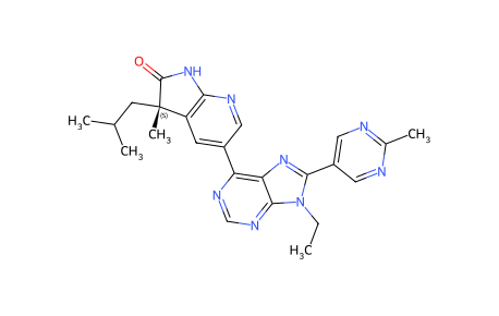 CCn1c(-c2cnc(C)nc2)nc2c(-c3cnc4c(c3)[C@](C)(CC(C)C)C(=O)N4)ncnc21